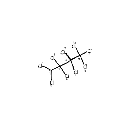 ClC(Cl)C(Cl)(Cl)C(Cl)(Cl)C(Cl)(Cl)Cl